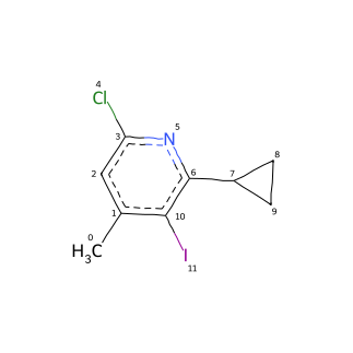 Cc1cc(Cl)nc(C2CC2)c1I